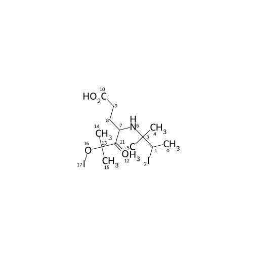 CC(I)C(C)(C)NC(CCC(=O)O)C(=O)C(C)(C)OI